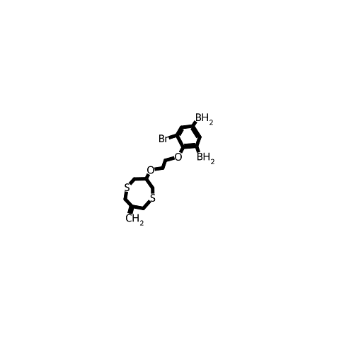 Bc1cc(B)c(OCCOC2CSCC(=C)CSC2)c(Br)c1